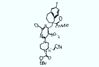 COC(=O)C1(Cc2nc(Cl)nc(N3CCN(C(=O)OC(C)(C)C)[C@@H](CC#N)C3)c2[N+](=O)[O-])CCCc2cc(F)ccc21